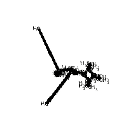 C#CC#CC#CC#CC#CC#CC#CC#CC#CC#CC#CN1/C(=C/C=C/C=C/C2=[N+](C#CC#CC#CC#CC#CC#CC#CC#CC#CC#CC#C)c3ccc(CNC(=O)CN4CCN(CC(=O)OC(C)(C)C)CCN(CC(=O)OC(C)(C)C)CCN(CC(=O)OC(C)(C)C)CC4)cc3C2(C)C)C(C)(C)c2ccccc21